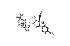 C[C@@H](OP(=O)(O)OP(=O)(O)OP(=O)(O)O)[C@H]1O[C@@H](n2cnc(N)nc2=O)C(Cl)(C#CCl)[C@H]1O